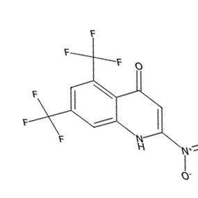 O=c1cc([N+](=O)[O-])[nH]c2cc(C(F)(F)F)cc(C(F)(F)F)c12